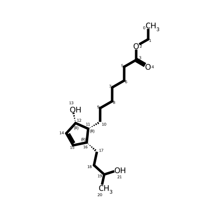 CCOC(=O)CCCCCC[C@H]1[C@@H](O)C=C[C@H]1CCC(C)O